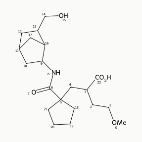 COCCC(CC1(C(=O)NC2CC3CC(CO)C2C3)CCCC1)C(=O)O